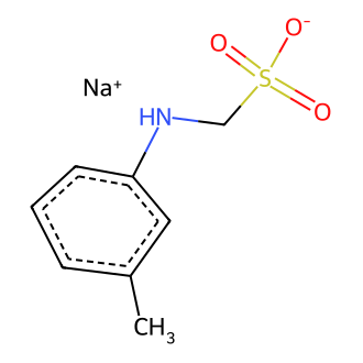 Cc1cccc(NCS(=O)(=O)[O-])c1.[Na+]